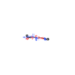 NC(=O)[C@H](Cc1ccc(OC(=O)NCC[C@H](N)C(=O)NCCOCCOCCOCCn2cc(-c3ccccc3)nn2)cc1)Nc1ccccc1